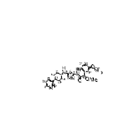 CO[C@H](C(=O)Nc1nnc(N[C@H]2CC[C@H](c3cccnn3)CC2)s1)c1cc(OC(F)(F)F)ccc1F